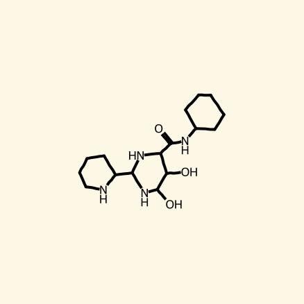 O=C(NC1CCCCC1)C1NC(C2CCCCN2)NC(O)C1O